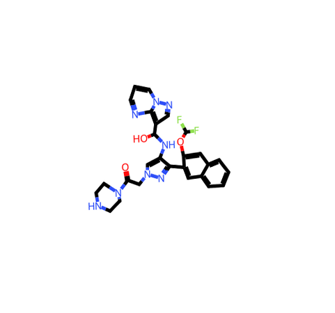 O=C(Cn1cc(NC(O)c2cnn3cccnc23)c(-c2cc3ccccc3cc2OC(F)F)n1)N1CCNCC1